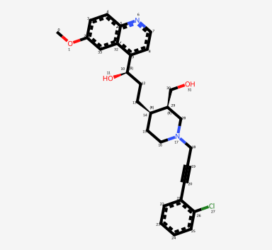 COc1ccc2nccc([C@H](O)CC[C@@H]3CCN(CC#Cc4ccccc4Cl)C[C@@H]3CO)c2c1